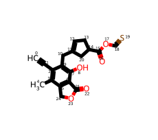 C#Cc1c(C)c2c(c(O)c1CC1=CCC(C(=O)OC=S)C1)C(=O)OC2